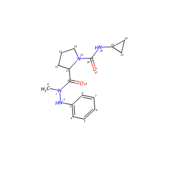 CN(Nc1ccccc1)C(=O)C1CCCN1C(=O)NC1CC1